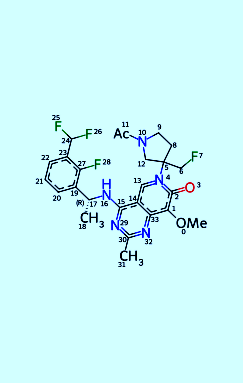 COc1c(=O)n(C2(CF)CCN(C(C)=O)C2)cc2c(N[C@H](C)c3cccc(C(F)F)c3F)nc(C)nc12